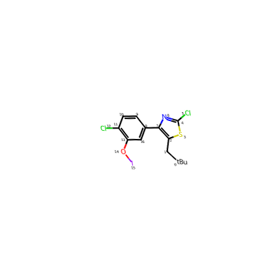 CC(C)(C)Cc1sc(Cl)nc1-c1ccc(Cl)c(OI)c1